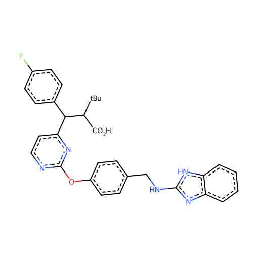 CC(C)(C)C(C(=O)O)C(c1ccc(F)cc1)c1ccnc(Oc2ccc(CNc3nc4ccccc4[nH]3)cc2)n1